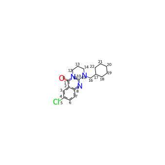 O=c1c2cc(Cl)ccc2nc2n1CCCN2CC1CCCCC1